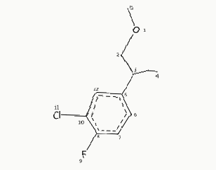 COCC(C)c1ccc(F)c(Cl)c1